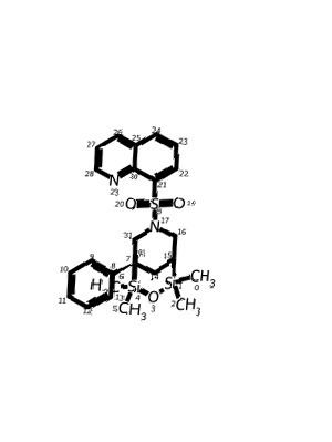 C[Si]1(C)O[Si](C)(C)[C@@]2(c3ccccc3)CC1CN(S(=O)(=O)c1cccc3cccnc13)C2